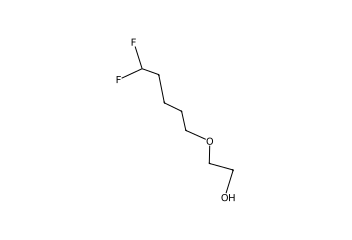 OCCOCCCCC(F)F